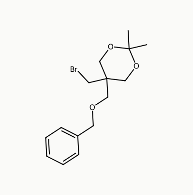 CC1(C)OCC(CBr)(COCc2ccccc2)CO1